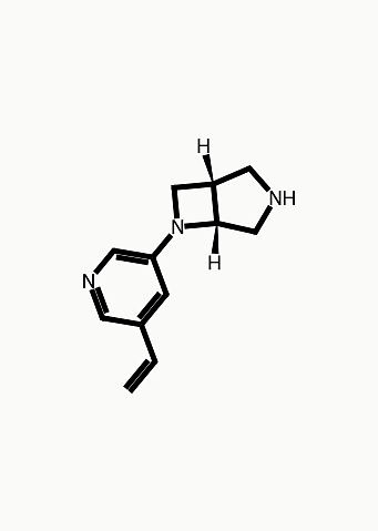 C=Cc1cncc(N2C[C@@H]3CNC[C@@H]32)c1